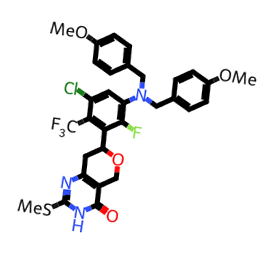 COc1ccc(CN(Cc2ccc(OC)cc2)c2cc(Cl)c(C(F)(F)F)c(C3Cc4nc(SC)[nH]c(=O)c4CO3)c2F)cc1